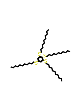 CCCCCCCCCCCSc1cc(SCCCCCCCCCCC)c(SCCCCCCCCCCC)c(SCCCCCCCCCCC)c1